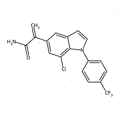 C=C(C(N)=O)c1cc(Cl)c2c(ccn2-c2ccc(C(F)(F)F)cc2)c1